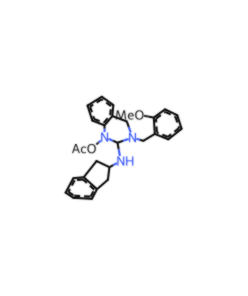 COc1ccccc1CN1Cc2ccccc2N(OC(C)=O)C1NC1Cc2ccccc2C1